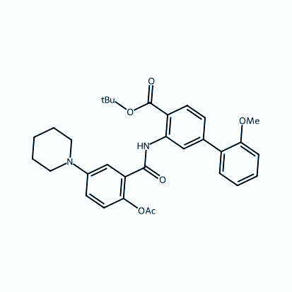 COc1ccccc1-c1ccc(C(=O)OC(C)(C)C)c(NC(=O)c2cc(N3CCCCC3)ccc2OC(C)=O)c1